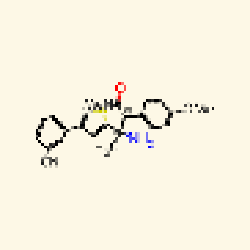 CNC(=O)[C@H](c1ccc(OC)cc1)[C@](C)(N)c1cc(-c2cccc(C#N)c2)cs1